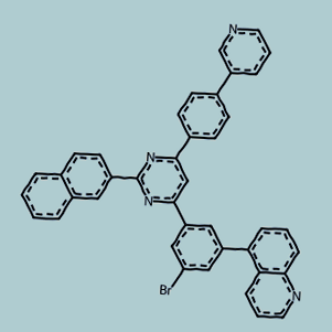 Brc1cc(-c2cc(-c3ccc(-c4cccnc4)cc3)nc(-c3ccc4ccccc4c3)n2)cc(-c2cccc3ncccc23)c1